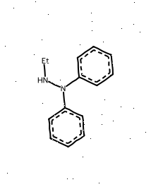 CCNN(c1ccccc1)c1ccccc1